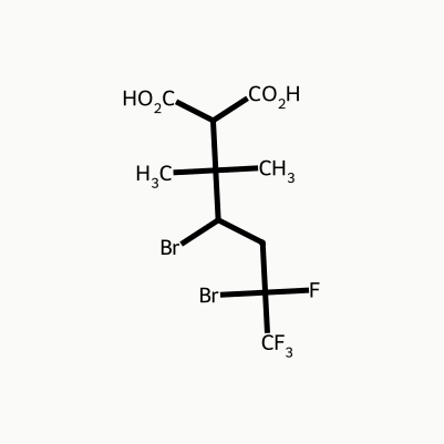 CC(C)(C(Br)CC(F)(Br)C(F)(F)F)C(C(=O)O)C(=O)O